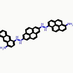 Nc1ccc(NNc2cc3ccc4cc(NNc5ccc6ccc7c(N)ccc8ccc5c6c87)cc5ccc(c2)c3c45)c2cc3ccccc3cc12